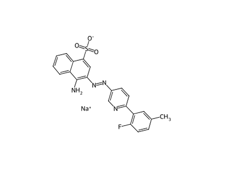 Cc1ccc(F)c(-c2ccc(N=Nc3cc(S(=O)(=O)[O-])c4ccccc4c3N)cn2)c1.[Na+]